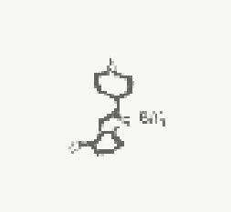 Br.CN1CCC(c2cc3c(Cl)cccc3s2)CC1